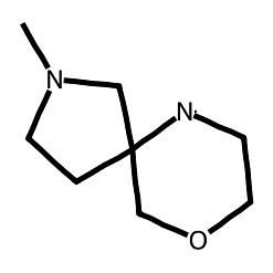 CN1CCC2(COCC[N]2)C1